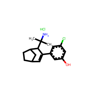 CC(C)(N)C1C(c2cc(O)cc(Cl)c2)=CC2CCC1C2.Cl